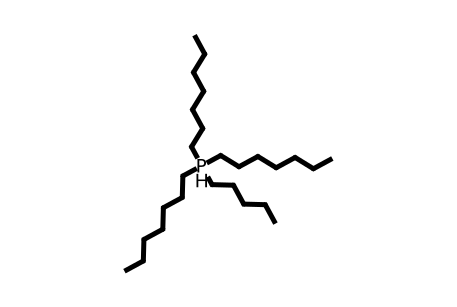 CCCCCCC[PH](CCCCC)(CCCCCCC)CCCCCCC